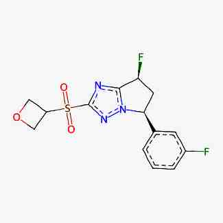 O=S(=O)(c1nc2n(n1)[C@H](c1cccc(F)c1)C[C@@H]2F)C1COC1